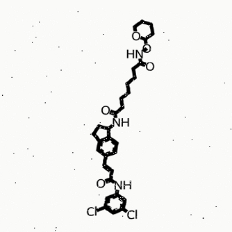 O=C(/C=C/c1ccc2c(c1)CCC2NC(=O)CCCCCCC(=O)NOC1CCCCO1)Nc1cc(Cl)cc(Cl)c1